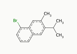 Cc1cc2c(Br)cccc2cc1C(C)C